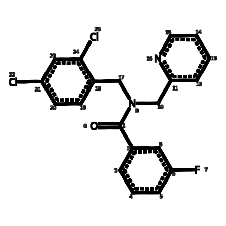 O=C(c1cccc(F)c1)N(Cc1ccccn1)Cc1ccc(Cl)cc1Cl